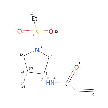 C=CC(=O)N[C@H]1CN(S(=O)(=O)CC)C[C@H]1C